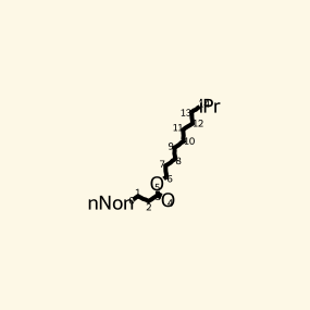 CCCCCCCCCCCC(=O)OCCCCCCCCC(C)C